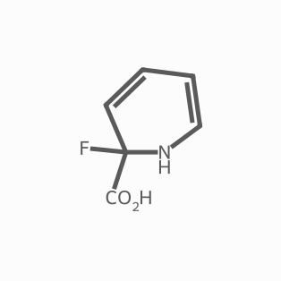 O=C(O)C1(F)C=CC=CN1